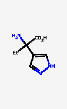 CCC(N)(C(=O)O)c1cn[nH]c1